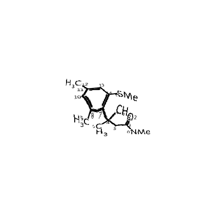 CNC(=O)CC(C)(C)c1c(C)cc(C)cc1SC